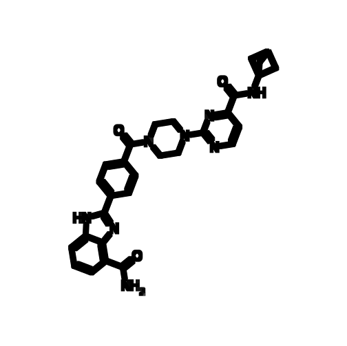 NC(=O)c1cccc2[nH]c(-c3ccc(C(=O)N4CCN(c5nccc(C(=O)NC67CC(C6)C7)n5)CC4)cc3)nc12